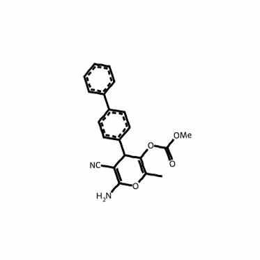 COC(=O)OC1=C(C)OC(N)=C(C#N)C1c1ccc(-c2ccccc2)cc1